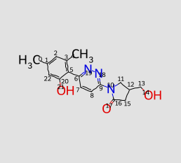 Cc1cc(C)c(-c2ccc(N3CC(CO)CC3=O)nn2)c(O)c1